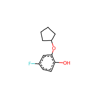 Oc1ccc(F)cc1OC1CCCC1